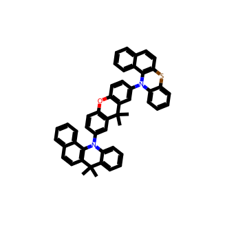 CC1(C)c2cc(N3c4ccccc4Sc4ccc5ccccc5c43)ccc2Oc2ccc(N3c4ccccc4C(C)(C)c4ccc5ccccc5c43)cc21